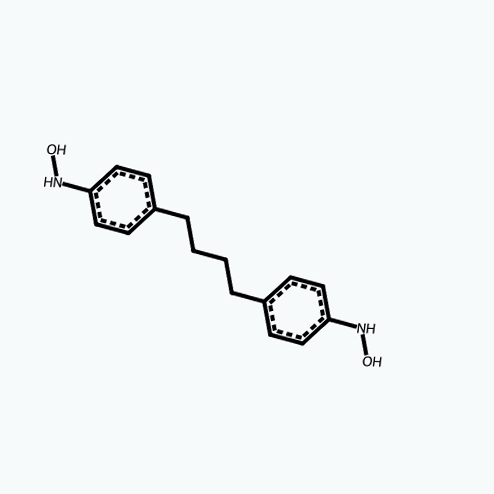 ONc1ccc(CCCCc2ccc(NO)cc2)cc1